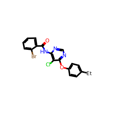 CCc1ccc(Oc2ncnc(NC(=O)c3ccccc3Br)c2Cl)cc1